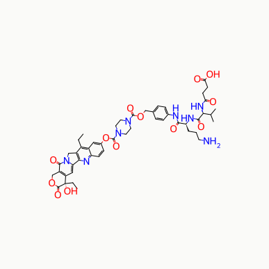 CCc1c2c(nc3ccc(OC(=O)N4CCN(C(=O)OCc5ccc(NC(=O)[C@H](CCCN)NC(=O)[C@@H](NC(=O)CCC(=O)O)C(C)C)cc5)CC4)cc13)-c1cc3c(c(=O)n1C2)COC(=O)[C@]3(O)CC